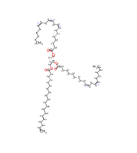 CCCCC/C=C\C/C=C\C/C=C\CCCCCCC(=O)OC[C@@H](COC(=O)CCCCCCCCCCCCCCCCCCC)OC(=O)CCCCCCCCC/C=C\C/C=C\CCCCC